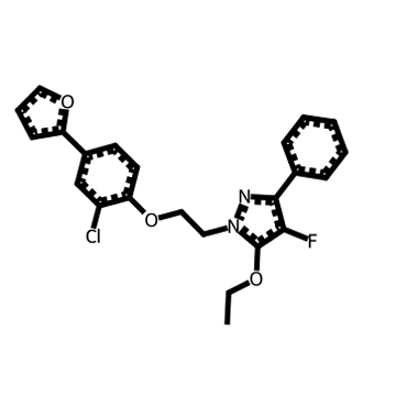 CCOc1c(F)c(-c2ccccc2)nn1CCOc1ccc(-c2ccco2)cc1Cl